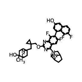 CC1(O)CC2CCC1CN2CC1(COc2nc(N3CC4CCC(C3)N4)c3cc(F)c(-c4cc(O)cc5ccc(F)c(F)c45)c(F)c3n2)CC1